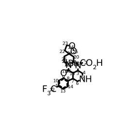 CC(C)(C)N(C(=O)O)C1CNCC(c2ccc(C(F)(F)F)cc2)C1C(=O)N1CCC2(CCOO2)CC1